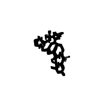 Cc1cc(C)nc([C@@H](C)N2CCc3c(cc(Cn4ccnc4C)cc3-c3cn(C)nc3C(F)(F)F)C2=O)c1